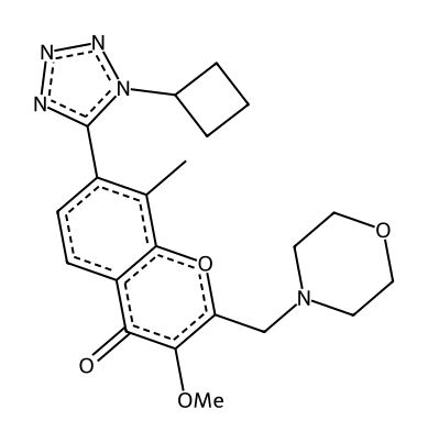 COc1c(CN2CCOCC2)oc2c(C)c(-c3nnnn3C3CCC3)ccc2c1=O